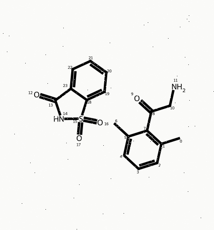 Cc1cccc(C)c1C(=O)CN.O=C1NS(=O)(=O)c2ccccc21